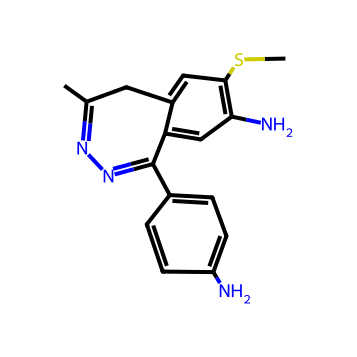 CSc1cc2c(cc1N)C(c1ccc(N)cc1)=NN=C(C)C2